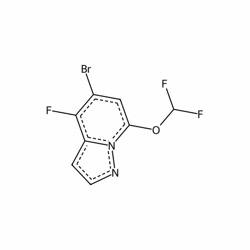 Fc1c(Br)cc(OC(F)F)n2nccc12